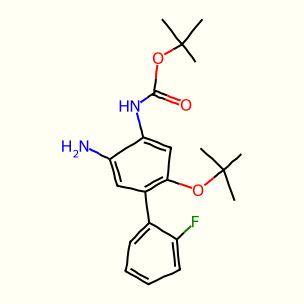 CC(C)(C)OC(=O)Nc1cc(OC(C)(C)C)c(-c2ccccc2F)cc1N